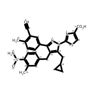 C#Cc1cc(-c2nn(-c3nc(C(=O)O)cs3)c(CC3CC3)c2Cc2ccc([S+](N)[O-])c(C)c2)ccc1C